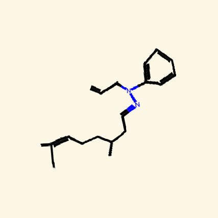 C=CCN(/N=C/CC(C)CCC=C(C)C)c1ccccc1